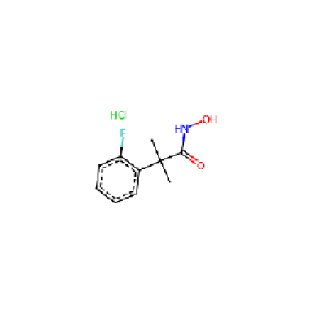 CC(C)(C(=O)NO)c1ccccc1F.Cl